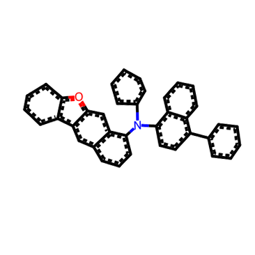 c1ccc(-c2ccc(N(c3ccccc3)c3cccc4cc5c(cc34)oc3ccccc35)c3ccccc23)cc1